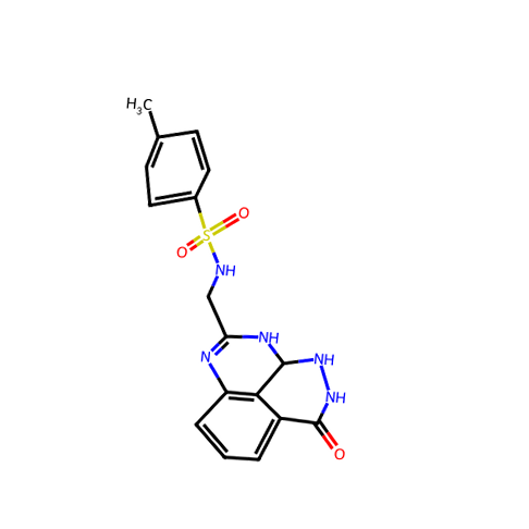 Cc1ccc(S(=O)(=O)NCC2=Nc3cccc4c3C(NNC4=O)N2)cc1